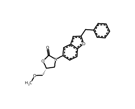 COC[C@H]1CN(c2ccc3oc(Cc4ccccc4)cc3c2)C(=O)O1